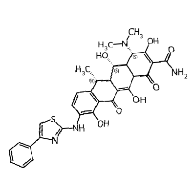 C[C@H]1c2ccc(Nc3nc(-c4ccccc4)cs3)c(O)c2C(=O)C2=C(O)C3C(=O)C(C(N)=O)=C(O)[C@@H](N(C)C)C3[C@@H](O)C21